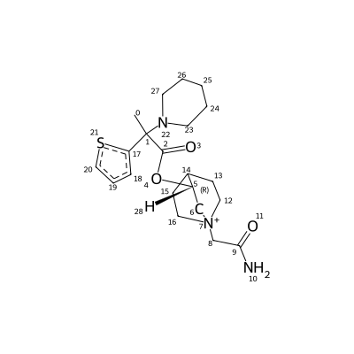 CC(C(=O)O[C@H]1C[N+]2(CC(N)=O)CCC1CC2)(c1cccs1)N1CCCCC1